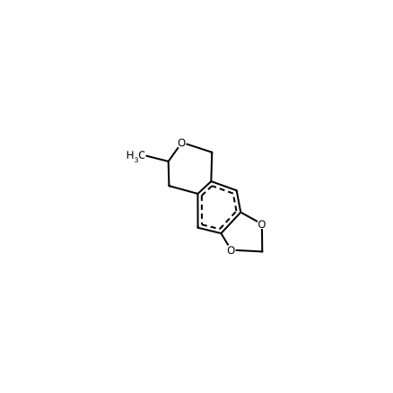 CC1Cc2cc3c(cc2CO1)OCO3